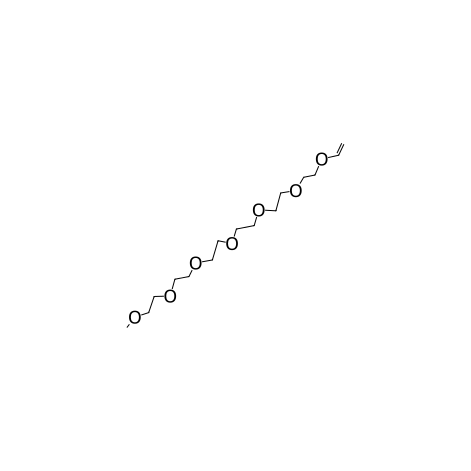 C=COCCOCCOCCOCCOCCOCCOC